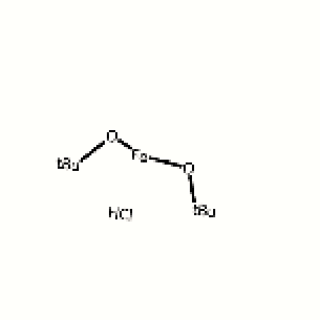 CC(C)(C)[O][Fe][O]C(C)(C)C.Cl